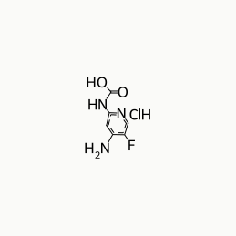 Cl.Nc1cc(NC(=O)O)ncc1F